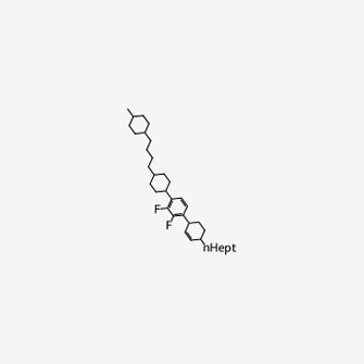 CCCCCCCC1C=CC(c2ccc(C3CCC(CCCCC4CCC(C)CC4)CC3)c(F)c2F)CC1